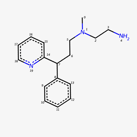 CN(CCN)CCC(c1ccccc1)c1ccccn1